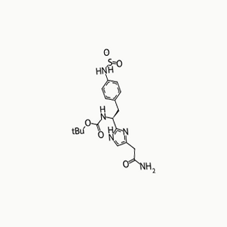 CC(C)(C)OC(=O)N[C@@H](Cc1ccc(N[SH](=O)=O)cc1)c1nc(CC(N)=O)c[nH]1